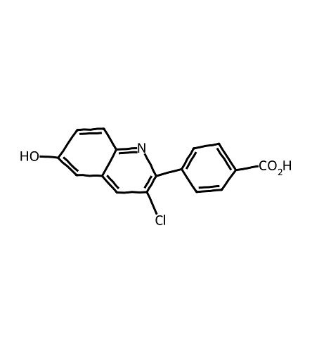 O=C(O)c1ccc(-c2nc3ccc(O)cc3cc2Cl)cc1